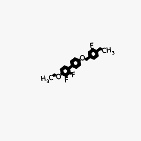 CCOc1ccc(-c2ccc(OCc3ccc(CC)c(F)c3)cc2)c(F)c1F